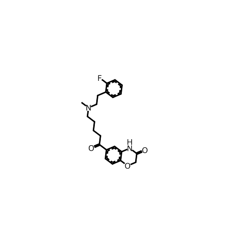 CN(CCCCC(=O)c1ccc2c(c1)NC(=O)CO2)CCc1ccccc1F